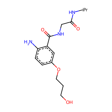 CC(C)NC(=O)CNC(=O)c1cc(OCCCO)ccc1N